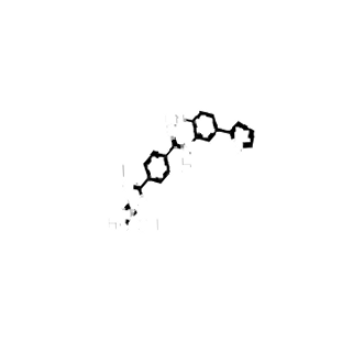 CC(OP(C)(=O)O)c1ccc(C(=O)Nc2cc(-c3cccs3)ccc2N)cc1